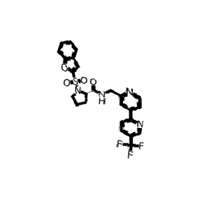 O=C(NCc1cc(-c2ccc(C(F)(F)F)cn2)ccn1)[C@@H]1CCCN1S(=O)(=O)c1cc2ccccc2o1